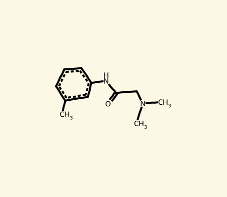 Cc1cccc(NC(=O)CN(C)C)c1